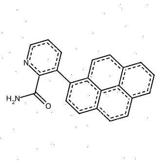 NC(=O)c1ncccc1-c1ccc2ccc3cccc4ccc1c2c34